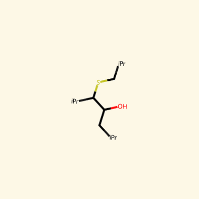 CC(C)CSC(C(C)C)C(O)CC(C)C